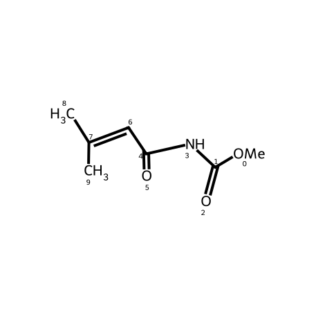 COC(=O)NC(=O)C=C(C)C